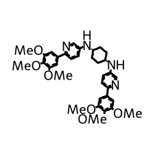 COc1cc(-c2ccc(N[C@H]3CC[C@H](Nc4ccc(-c5cc(OC)c(OC)c(OC)c5)nc4)CC3)cn2)cc(OC)c1OC